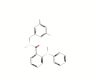 CN(Cc1cc(C(F)(F)F)cc(C(F)(F)F)c1)C(=O)c1ccccc1N(C)c1ccccc1